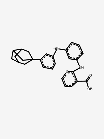 O=C(O)c1cccnc1Nc1cccc(Nc2cccc(C34CC5CC(C3)C(C5)C4)c2)c1